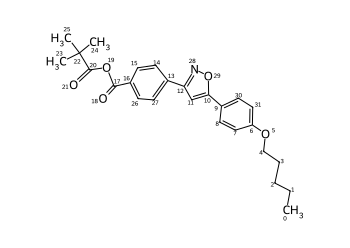 CCCCCOc1ccc(-c2cc(-c3ccc(C(=O)OC(=O)C(C)(C)C)cc3)no2)cc1